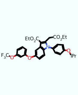 CCOC(=O)Cc1c(C(=O)OCC)c2cc(Oc3cccc(OC(F)(F)F)c3)ccc2n1-c1ccc(OC(C)C)cc1